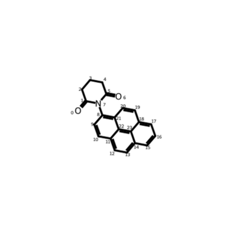 O=C1CCCC(=O)N1c1ccc2ccc3cccc4ccc1c2c34